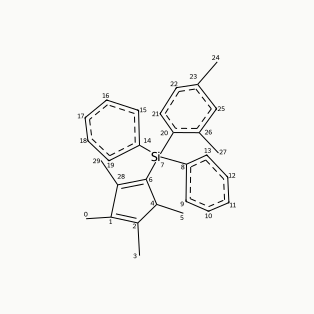 CC1=C(C)C(C)C([Si](c2ccccc2)(c2ccccc2)c2ccc(C)cc2C)=C1C